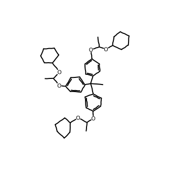 CC(Oc1ccc(C(C)(c2ccc(OC(C)OC3CCCCC3)cc2)c2ccc(OC(C)OC3CCCCC3)cc2)cc1)OC1CCCCC1